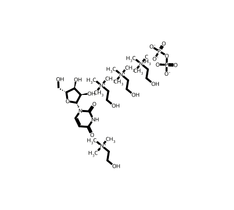 C[N+](C)(C)CCO.C[N+](C)(C)CCO.C[N+](C)(C)CCO.C[N+](C)(C)CCO.O=P([O-])([O-])OP(=O)([O-])[O-].O=c1ccn([C@@H]2O[C@H](CO)[C@@H](O)[C@H]2O)c(=O)[nH]1